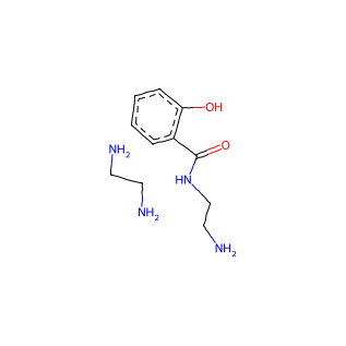 NCCN.NCCNC(=O)c1ccccc1O